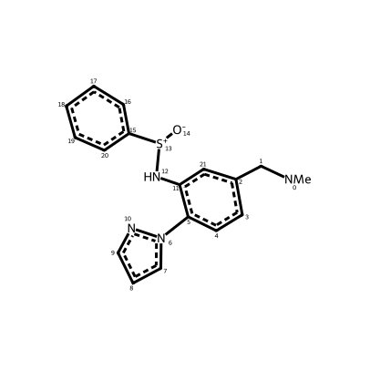 CNCc1ccc(-n2cccn2)c(N[S+]([O-])c2ccccc2)c1